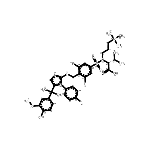 COc1cc(C(C)(C)c2cnc(SCc3c(F)cc(S(=O)(=O)N(CCC[N+](C)(C)C)[C@@H](C(=O)O)C(C)C)cc3F)n2-c2ccc(F)cc2)ccc1Cl